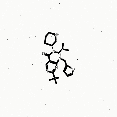 CC(C)CN(C(=O)c1cnc(C(C)(C)C)nc1NCc1ccco1)[C@@H]1CCCNC1